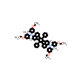 CCOc1ccc(N(c2ccc(OCC)cc2C)c2ccc3c4c(-c5ccccc5)c5c6cccc7c(N(c8ccc(OCC)cc8C)c8ccc(OCC)cc8C)ccc(c5c(-c5ccccc5)c4c4cccc2c43)c76)c(C)c1